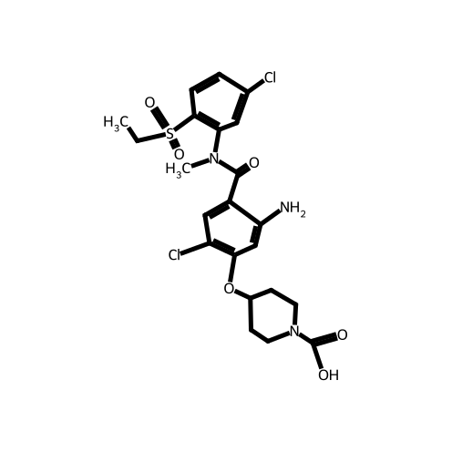 CCS(=O)(=O)c1ccc(Cl)cc1N(C)C(=O)c1cc(Cl)c(OC2CCN(C(=O)O)CC2)cc1N